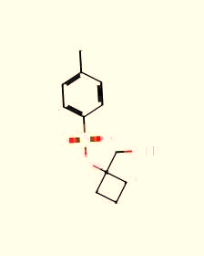 Cc1ccc(S(=O)(=O)OC2(CO)CCC2)cc1